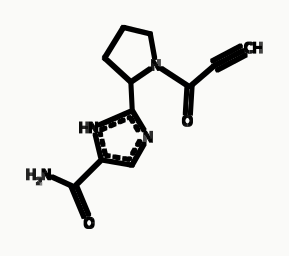 C#CC(=O)N1CCCC1c1ncc(C(N)=O)[nH]1